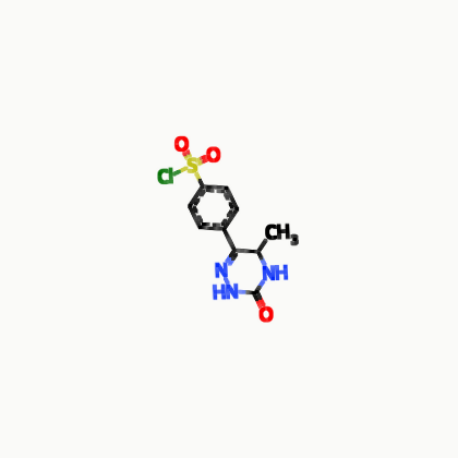 CC1NC(=O)NN=C1c1ccc(S(=O)(=O)Cl)cc1